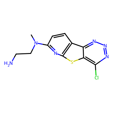 CN(CCN)c1ccc2c(n1)sc1c(Cl)nnnc12